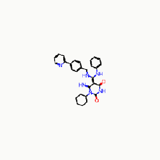 N=C1/C(=C(\NCc2ccc(-c3ccccn3)cc2)Nc2ccccc2)C(=O)NC(=O)N1C1CCCCC1